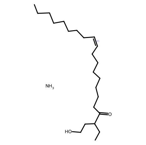 CCCCCCCC/C=C\CCCCCCCC(=O)[C](CC)CCO.N